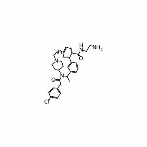 CC(C)CN1CCC(N(C(=O)Cc2ccc(Cl)cc2)C(C)c2cccc(-c3ccccc3C(=O)NCCN)c2)CC1